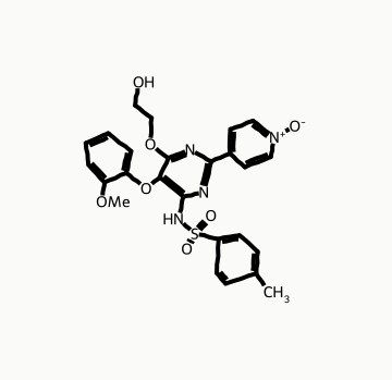 COc1ccccc1Oc1c(NS(=O)(=O)c2ccc(C)cc2)nc(-c2cc[n+]([O-])cc2)nc1OCCO